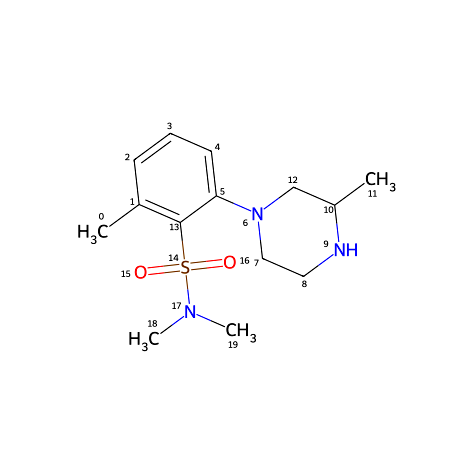 Cc1cccc(N2CCNC(C)C2)c1S(=O)(=O)N(C)C